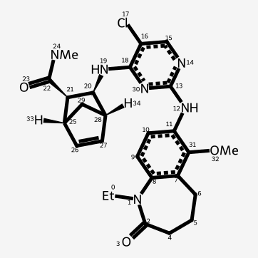 CCN1C(=O)CCCc2c1ccc(Nc1ncc(Cl)c(N[C@@H]3[C@H](C(=O)NC)[C@H]4C=C[C@@H]3C4)n1)c2OC